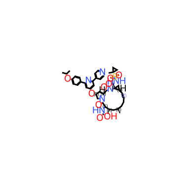 CC(C)Oc1ccc(-c2cc(O[C@@H]3C[C@H]4C(=O)N[C@]5(C(=O)NS(=O)(=O)C6(C)CC6)C[C@H]5/C=C\CC[C@@H](C)C[C@@H](C)[C@H](NC(=O)O)C(=O)N4C3)cc(-c3ccncc3)n2)cc1